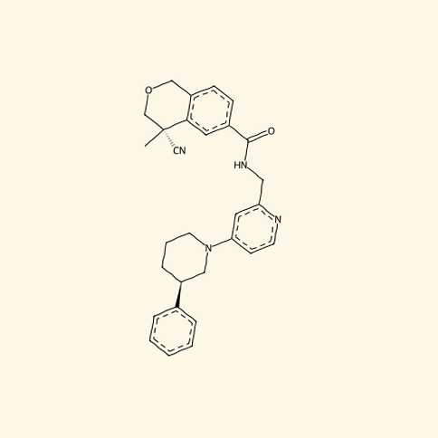 C[C@@]1(C#N)COCc2ccc(C(=O)NCc3cc(N4CCC[C@H](c5ccccc5)C4)ccn3)cc21